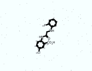 O=C(CNc1ccccc1F)Nc1ccc(Cl)cc1C(=O)O